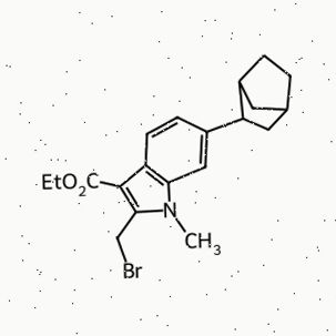 CCOC(=O)c1c(CBr)n(C)c2cc(C3CC4CCC3C4)ccc12